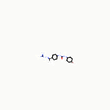 C/C(=N\NC(=N)N)c1ccc(NC(=O)Nc2ccc(Br)cc2)cc1